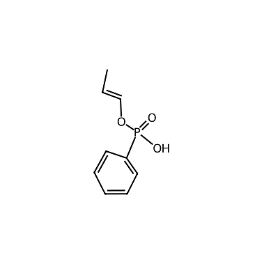 CC=COP(=O)(O)c1ccccc1